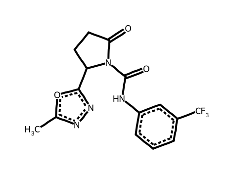 Cc1nnc(C2CCC(=O)N2C(=O)Nc2cccc(C(F)(F)F)c2)o1